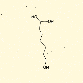 OCCCCCCC(O)O